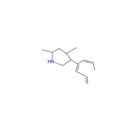 C=C/C=C(\C=C/C)C1CNC(C)CC1C